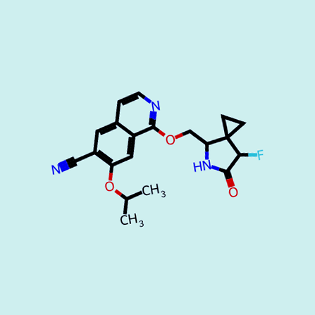 CC(C)Oc1cc2c(OCC3NC(=O)C(F)C34CC4)nccc2cc1C#N